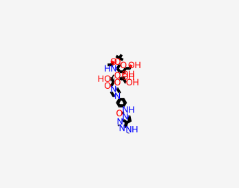 CNc1ncnc2c1ccn2C(=O)Nc1ccc(N2CCN(C(=O)C(OC(OC3C(O)C(CO)OC(OC(C)(C)C)C3NC(C)=O)[C@@H](O)CO)[C@H](C)O)CC2)cc1